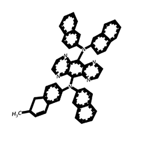 CC1C=Cc2cc(N(c3ccc4ccccc4c3)c3c4nccnc4c(N(c4ccc5ccccc5c4)c4ccc5ccccc5c4)c4nccnc34)ccc2C1